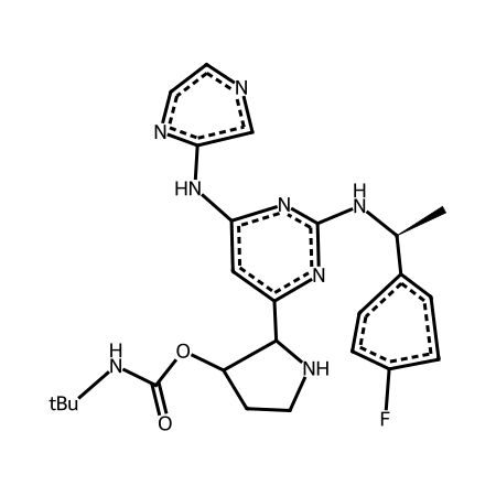 C[C@H](Nc1nc(Nc2cnccn2)cc(C2NCCC2OC(=O)NC(C)(C)C)n1)c1ccc(F)cc1